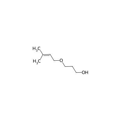 CC(C)=CCOCCCO